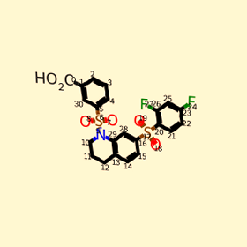 O=C(O)c1cccc(S(=O)(=O)N2CCCc3ccc(S(=O)(=O)c4ccc(F)cc4F)cc32)c1